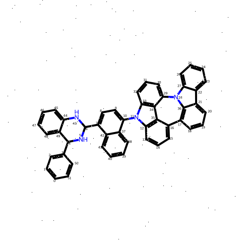 c1ccc(C2NC(c3ccc(-n4c5cccc6c7cccc8c9ccccc9n(c9cccc4c9c65)c78)c4ccccc34)Nc3ccccc32)cc1